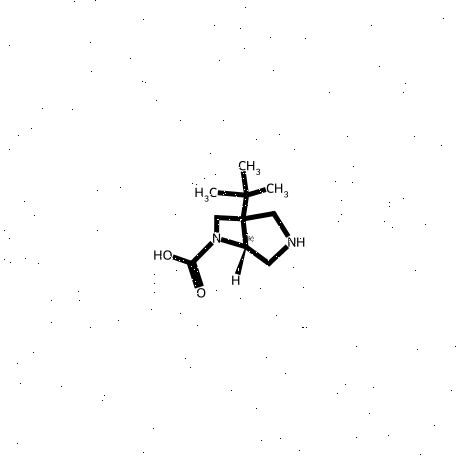 CC(C)(C)C12CNC[C@@H]1N(C(=O)O)C2